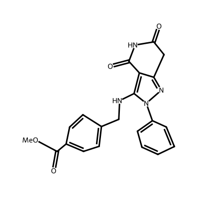 COC(=O)c1ccc(CNc2c3c(nn2-c2ccccc2)CC(=O)NC3=O)cc1